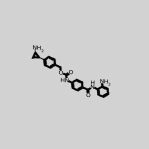 Nc1ccccc1NC(=O)c1ccc(NC(=O)OCc2ccc([C@H]3C[C@@H]3N)cc2)cc1